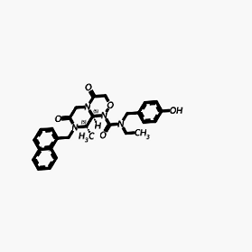 CCN(Cc1ccc(O)cc1)C(=O)N1OCC(=O)N2CC(=O)N(Cc3cccc4ccccc34)[C@@H](C)[C@@H]21